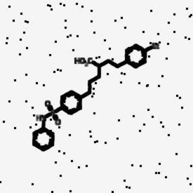 CCc1ccc(CCC(CCCc2ccc(S(=O)(=O)Nc3ccccc3)cc2)C(=O)O)cc1